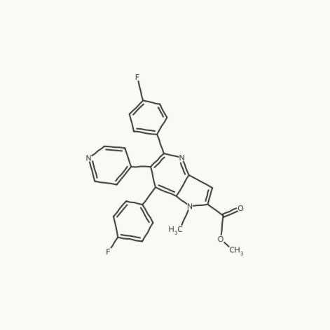 COC(=O)c1cc2nc(-c3ccc(F)cc3)c(-c3ccncc3)c(-c3ccc(F)cc3)c2n1C